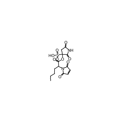 CCCCC(C(=O)OC1(S(=O)(=O)O)CC(=O)NC1=O)N1C(=O)C=CC1=O